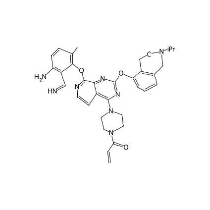 C=CC(=O)N1CCN(c2nc(Oc3cccc4c3CCN(C(C)C)C4)nc3c(Oc4c(C)ccc(N)c4C=N)nccc23)CC1